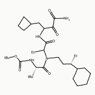 CCC(C(=O)NC(CC1CCC1)C(=O)C(N)=O)N(CC[C@H](CC)C1CCCCC1)C(=O)[C@@H](NC(=O)OC(C)(C)C)C(C)(C)C